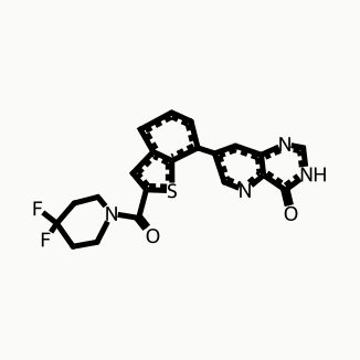 O=C(c1cc2cccc(-c3cnc4c(=O)[nH]cnc4c3)c2s1)N1CCC(F)(F)CC1